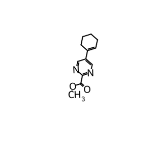 COC(=O)c1ncc(C2=CCCCC2)cn1